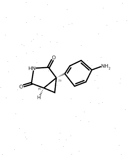 Nc1ccc([C@]23C[C@H]2C(=O)NC3=O)cc1